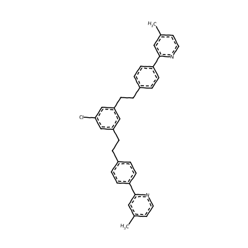 Cc1ccnc(-c2ccc(CCc3cc(Cl)cc(CCc4ccc(-c5cc(C)ccn5)cc4)c3)cc2)c1